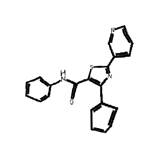 O=C(Nc1ccccc1)c1sc(-c2cccnc2)nc1-c1ccccc1